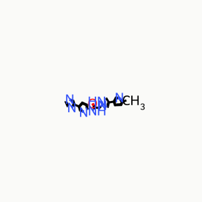 Cc1ccc(C2=CN(CC(=O)Nc3ccc(-c4cnccn4)cn3)NC2)cn1